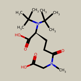 CN(CC(=O)O)C(=O)CC[C@@H](C(=O)O)N(C(C)(C)C)C(C)(C)C